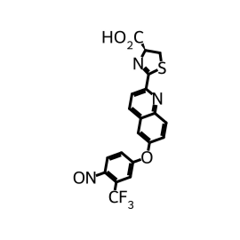 O=Nc1ccc(Oc2ccc3nc(C4=N[C@@H](C(=O)O)CS4)ccc3c2)cc1C(F)(F)F